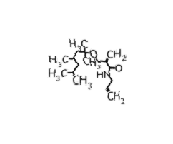 C=CCNC(=O)C(=C)COC(C)(C)CC(C)CC(C)C